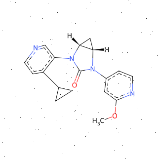 COc1cc(N2C(=O)N(c3cnccc3C3CC3)[C@@H]3C[C@@H]32)ccn1